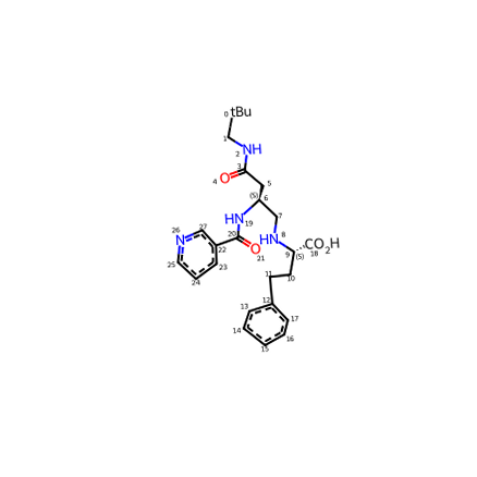 CC(C)(C)CNC(=O)C[C@@H](CN[C@@H](CCc1ccccc1)C(=O)O)NC(=O)c1cccnc1